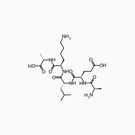 CC(C)C[C@@H](NC(=O)[C@@H](CCC(=O)O)NC(=O)[C@@H](C)N)C(=O)N[C@H](CCCCN)C(=O)N[C@@H](C)C(=O)O